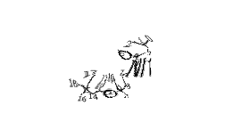 CC(C)CC(=O)NCCC(C)(C)OCCC(C)(C)C